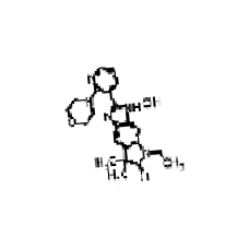 CCN1C(=O)C(C)(C)c2cc3nc(-c4cccnc4N4CCOCC4)[nH]c3cc21.Cl